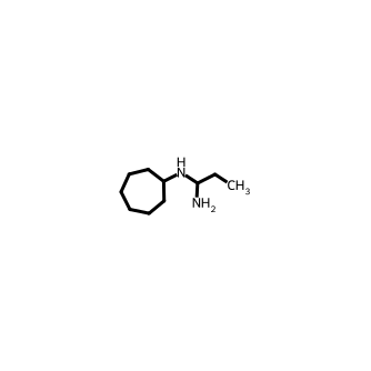 CCC(N)NC1CCCCCC1